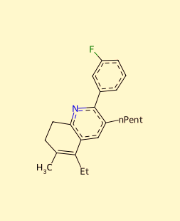 CCCCCc1cc2c(nc1-c1cccc(F)c1)CCC(C)=C2CC